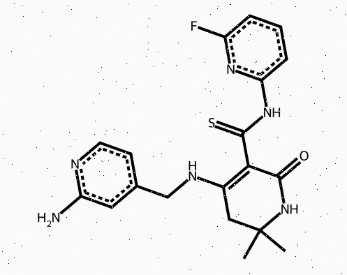 CC1(C)CC(NCc2ccnc(N)c2)=C(C(=S)Nc2cccc(F)n2)C(=O)N1